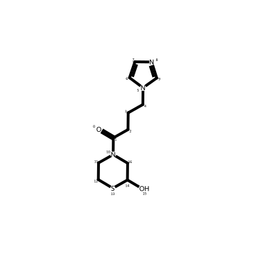 O=C(CCCn1c[c]nc1)N1CCSC(O)C1